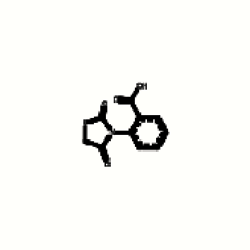 O=C(O)c1ccccc1N1C(=O)CSC1=O